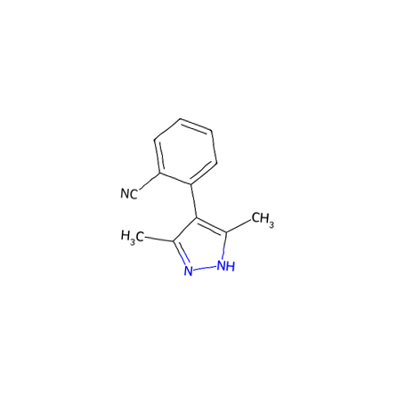 Cc1n[nH]c(C)c1-c1ccccc1C#N